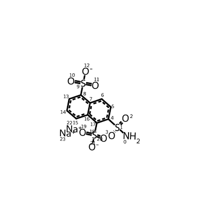 NS(=O)(=O)c1ccc2c(S(=O)(=O)[O-])cccc2c1S(=O)(=O)[O-].[Na+].[Na+]